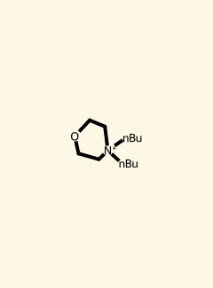 CCCC[N+]1(CCCC)CCOCC1